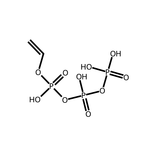 C=COP(=O)(O)OP(=O)(O)OP(=O)(O)O